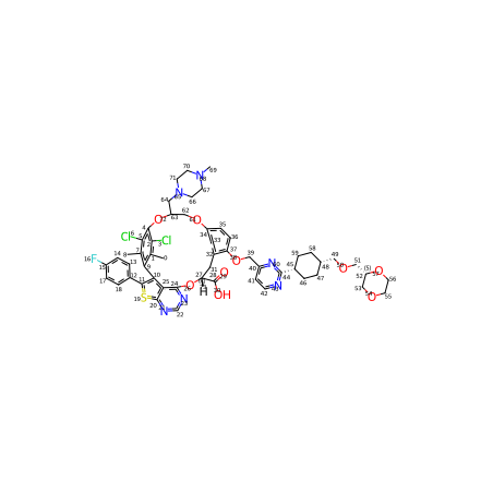 Cc1c(Cl)c2c(Cl)c(C)c1-c1c(-c3ccc(F)cc3)sc3ncnc(c13)O[C@@H](C(=O)O)Cc1cc(ccc1OCc1ccnc([C@H]3CC[C@@H](COC[C@H]4COCCO4)CC3)n1)OCC(CN1CCN(C)CC1)O2